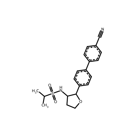 CC(C)S(=O)(=O)NC1CCOC1c1ccc(-c2ccc(C#N)cc2)cc1